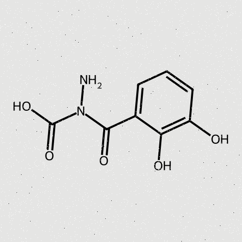 NN(C(=O)O)C(=O)c1cccc(O)c1O